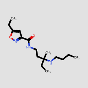 CCCCNC(C)(CC)CCNC(=O)c1cc(CC)on1